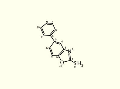 [SiH3]c1nc2cc(-c3ccccc3)ccc2o1